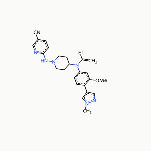 C=C(CC)N(c1ccc(-c2cnn(C)c2)c(OC)c1)C1CCN(Nc2ccc(C#N)cn2)CC1